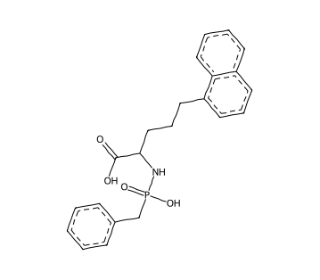 O=C(O)C(CCCc1cccc2ccccc12)NP(=O)(O)Cc1ccccc1